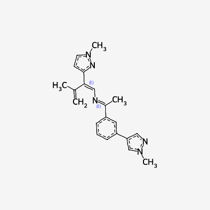 C=C(C)/C(=C\N=C(/C)c1cccc(-c2cnn(C)c2)c1)c1ccn(C)n1